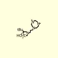 CN1CCN(C)CCN(CCCN(CC(=O)O)CC(=O)C(C)(C)C)CC1